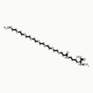 CN[C@@H](CCCCNC(=O)CCOCCOCCOCCOCCOCCOCCOCCOC)C(=O)O